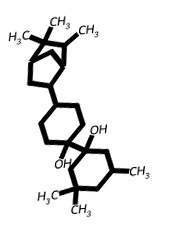 CC1CC(C)(C)CC(O)(C2(O)CCC(C3CC4CC3C(C)C4(C)C)CC2)C1